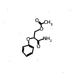 CC(=O)OCC(Oc1ccccc1)C(N)=O